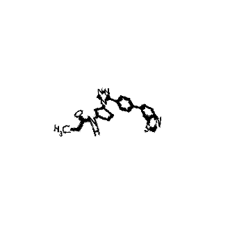 CCC(=O)N[C@H]1CCC(n2cnnc2-c2ccc(-c3ccc4ncsc4c3)cc2)C1